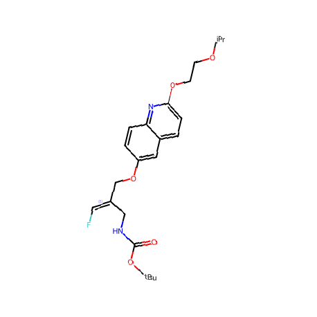 CC(C)OCCOc1ccc2cc(OC/C(=C/F)CNC(=O)OC(C)(C)C)ccc2n1